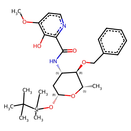 COc1ccnc(C(=O)N[C@H]2C[C@@H](O[Si](C)(C)C(C)(C)C)O[C@@H](C)[C@@H]2OCc2ccccc2)c1O